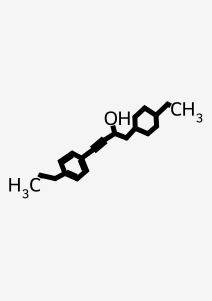 CCCc1ccc(C#CC(O)CC2CCC(CC)CC2)cc1